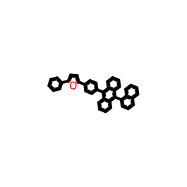 c1ccc(-c2ccc(-c3ccc(-c4c5ccccc5c(-c5cccc6ccccc56)c5ccccc45)cc3)o2)cc1